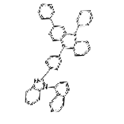 c1ccc(-c2ccc3c(-c4ccc(-c5nc6ccccc6n5-c5cccc6ccccc56)cc4)c4ccccc4c(-c4ccccc4)c3c2)cc1